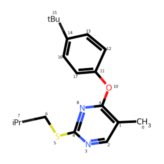 Cc1cnc(SCC(C)C)nc1Oc1ccc(C(C)(C)C)cc1